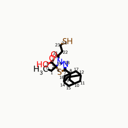 CCC1(C(=O)O)SC(C23CC4CC(CC(C4)C2)C3)=NN1C(=O)CCS